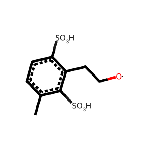 Cc1ccc(S(=O)(=O)O)c(CC[O])c1S(=O)(=O)O